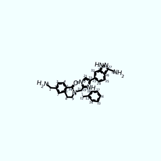 NCc1ccc2c(c1)CCN([C@@H](Cc1ccccc1)c1ncc(-c3ccc4c(N)n[nH]c4c3)[nH]1)C2=O